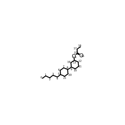 CCCCCC1CCC(C2CCCC(OC(=O)CC)C2)CC1